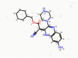 N#C/C(C(=O)OCC1CCCCC1)=C1\Nc2cc(N)ccc2N=C1N1CCNCC1